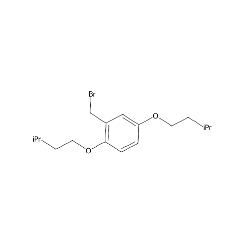 CC(C)CCOc1ccc(OCCC(C)C)c(CBr)c1